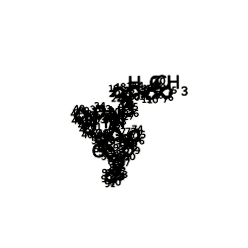 CC1(C)c2ccccc2-c2ccc(-c3ccc4c5ccccc5n(-c5cccc(-c6nc(-c7cccc(-n8c9ccccc9c9ccc(-c%10ccc%11c(c%10)oc%10ccccc%10%11)cc98)c7)nc(-c7cccc(-n8c9ccccc9c9ccc(-c%10ccc%11c(c%10)sc%10ccccc%10%11)cc98)c7)n6)c5)c4c3)cc21